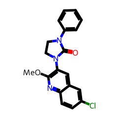 COc1nc2ccc(Cl)cc2cc1N1CCN(c2ccccc2)C1=O